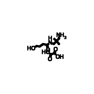 CC(C)(CN)CNC(=O)CCCO.O=C(O)C(=O)O